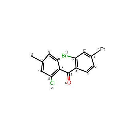 CCc1ccc(C(=O)c2ccc(C)cc2Cl)c(Br)c1